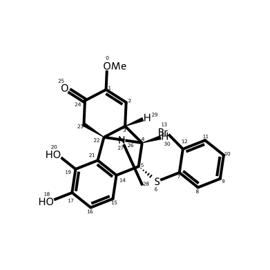 COC1=C[C@@H]2[C@@H]3[C@H](Sc4ccccc4Br)c4ccc(O)c(O)c4[C@@]2(CC1=O)CN3C